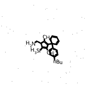 CCCCc1ccc(C2(C3=C(C)C(CN)C([SiH3])=C3C)C=CC=CC2)cc1